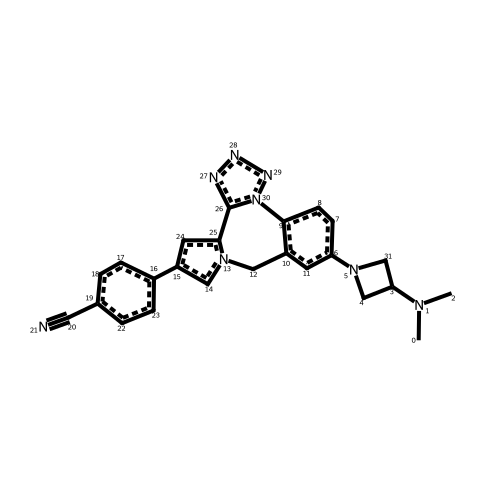 CN(C)C1CN(c2ccc3c(c2)Cn2cc(-c4ccc(C#N)cc4)cc2-c2nnnn2-3)C1